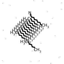 CCCCCCC.CCCCCCC.CCCCCCC.CCCCCCC.CCCCCCC.CCCCCCC.CCCCCCC.CCCCCCC.CCCCCCC.CCCCCCCCC#N